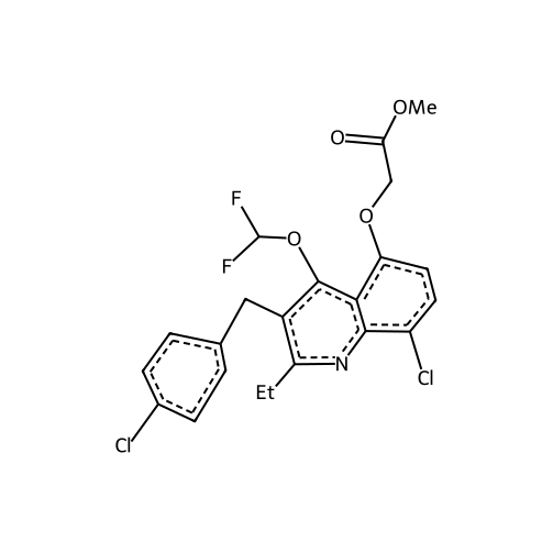 CCc1nc2c(Cl)ccc(OCC(=O)OC)c2c(OC(F)F)c1Cc1ccc(Cl)cc1